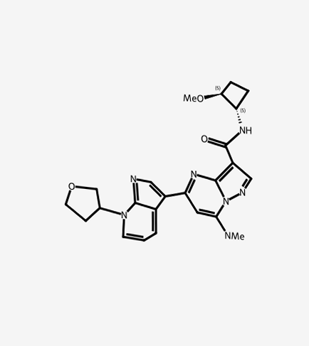 CNc1cc(-c2cnc3n(C4CCOC4)cccc2-3)nc2c(C(=O)N[C@H]3CC[C@@H]3OC)cnn12